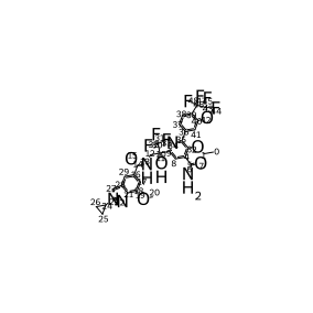 CCOc1c(C(N)=O)cc(C(O)(CNC(=O)c2cc(OC)c3nn(C4CC4)cc3c2)C(F)(F)F)nc1-c1ccc2c(c1)OC(F)(F)C2(F)F